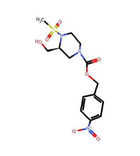 CS(=O)(=O)N1CCN(C(=O)OCc2ccc([N+](=O)[O-])cc2)C[C@H]1CO